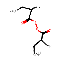 CCC(CC(=O)O)C(=O)OOC(=O)C(CC)CC(=O)O